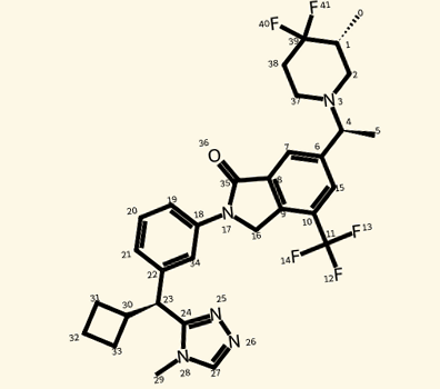 C[C@@H]1CN([C@@H](C)c2cc3c(c(C(F)(F)F)c2)CN(c2cccc([C@@H](c4nncn4C)C4CCC4)c2)C3=O)CCC1(F)F